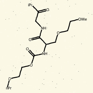 CCCOCCOC(=O)NC(COCCOC)C(=O)NCC(=O)C(C)C